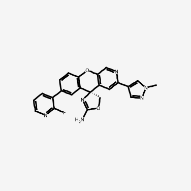 Cn1cc(-c2cc3c(cn2)Oc2ccc(-c4cccnc4F)cc2[C@@]32COC(N)=N2)cn1